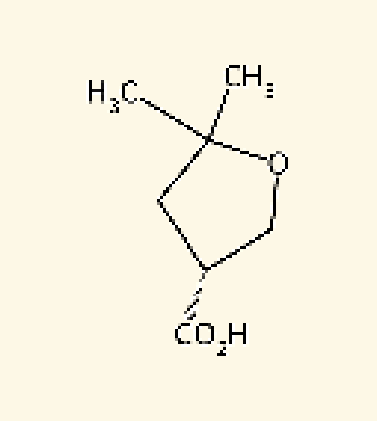 CC1(C)C[C@@H](C(=O)O)CO1